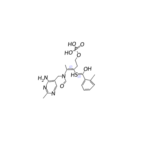 C/C(=C(CCOP(=O)(O)O)/[SH]=C(\O)c1ccccc1C)N(C=O)Cc1cnc(C)nc1N